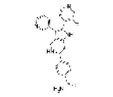 NC(=O)c1ccc(C2=Cc3[nH]c(-c4ccncc4F)c(-c4cccnc4)c3CN2)cc1